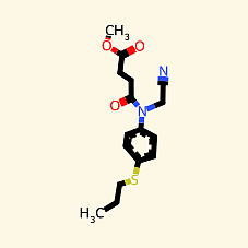 CCCSc1ccc(N(CC#N)C(=O)CCC(=O)OC)cc1